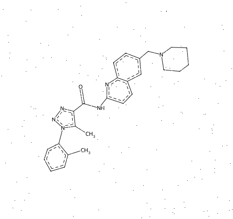 Cc1ccccc1-n1nnc(C(=O)Nc2ccc3cc(CN4CCCCC4)ccc3n2)c1C